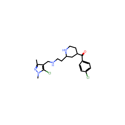 Cc1nn(C)c(Cl)c1CNCCC1CC(C(=O)c2ccc(Cl)cc2)CCN1